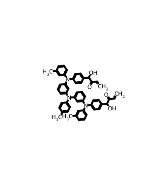 C=CC(=O)C(O)c1ccc(N(c2cccc(C)c2)c2cccc(N(c3ccc(C)cc3)c3cccc(N(c4ccc(C(O)C(=O)C=C)cc4)c4cccc(C)c4)c3)c2)cc1